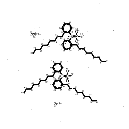 CCCCCCCCCc1ccccc1S(c1ccccc1CCCCCCCCC)=P([O-])([O-])[S-].CCCCCCCCCc1ccccc1S(c1ccccc1CCCCCCCCC)=P([O-])([O-])[S-].[Zn+2].[Zn+2].[Zn+2]